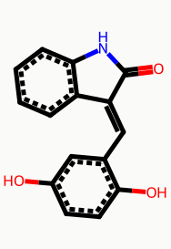 O=C1Nc2ccccc2/C1=C\c1cc(O)ccc1O